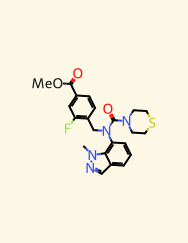 COC(=O)c1ccc(CN(C(=O)N2CCSCC2)c2cccc3cnn(C)c23)c(F)c1